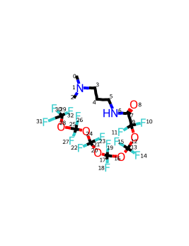 CN(C)CCCNC(=O)C(F)(F)OC(F)(F)OC(F)(F)OC(F)(F)OC(F)(F)OC(F)(F)F